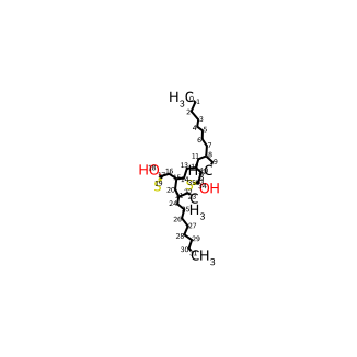 CCCCCCCCC(CC)CC(CCC(CC(O)=S)CC(CC)CCCCCCCC)CC(O)=S